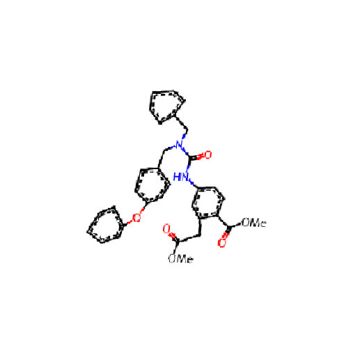 COC(=O)Cc1cc(NC(=O)N(Cc2ccccc2)Cc2ccc(Oc3ccccc3)cc2)ccc1C(=O)OC